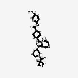 COc1ccc(NC(=O)c2ccc(C3=NC([C@@H]4CCCN(C(=O)C5(C)COC5)C4)=C4C=NC=C[N+]34N)cc2)nc1